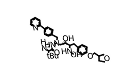 CC(C)(C)C(N)C(=O)NN(Cc1ccc(-c2ccccn2)cc1)C[C@H](O)C(Cc1ccc(OCC2CCOC2)cc1)NO